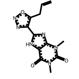 C=CCc1onnc1-c1nc2c([nH]1)c(=O)n(C)c(=O)n2C